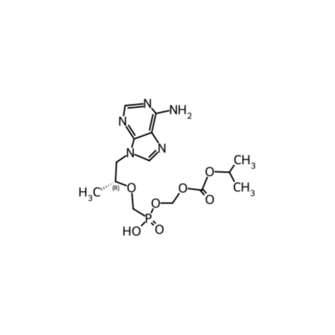 CC(C)OC(=O)OCOP(=O)(O)CO[C@H](C)Cn1cnc2c(N)ncnc21